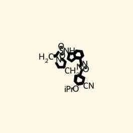 C=C(CS(=O)(=O)N[C@H]1CCc2c(-c3noc(-c4ccc(OC(C)C)c(C#N)c4)n3)cccc21)N1CCC(C)CC1